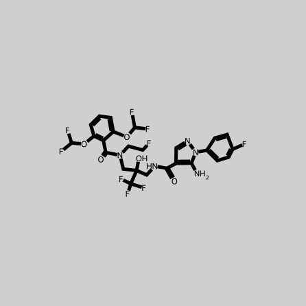 Nc1c(C(=O)NCC(O)(CN(CCF)C(=O)c2c(OC(F)F)cccc2OC(F)F)C(F)(F)F)cnn1-c1ccc(F)cc1